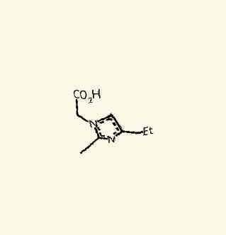 CCc1cn(CC(=O)O)c(C)n1